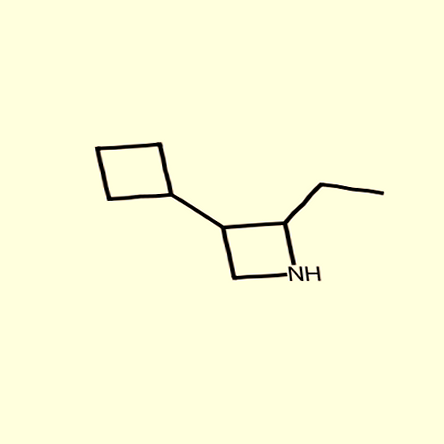 CCC1NCC1C1CCC1